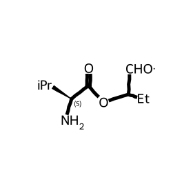 CCC([C]=O)OC(=O)[C@@H](N)C(C)C